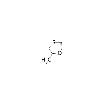 CC1CSC=CO1